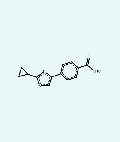 O=CC(=O)c1ccc(-c2csc(C3CC3)n2)cc1